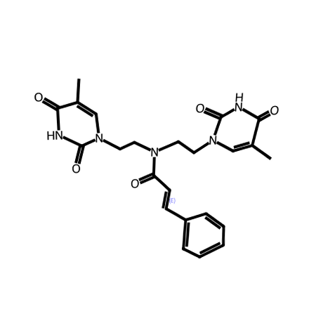 Cc1cn(CCN(CCn2cc(C)c(=O)[nH]c2=O)C(=O)/C=C/c2ccccc2)c(=O)[nH]c1=O